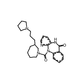 O=C1Nc2cccnc2N(C(=O)N2CCCCC(CCCN3CCCC3)C2)c2ccccc21